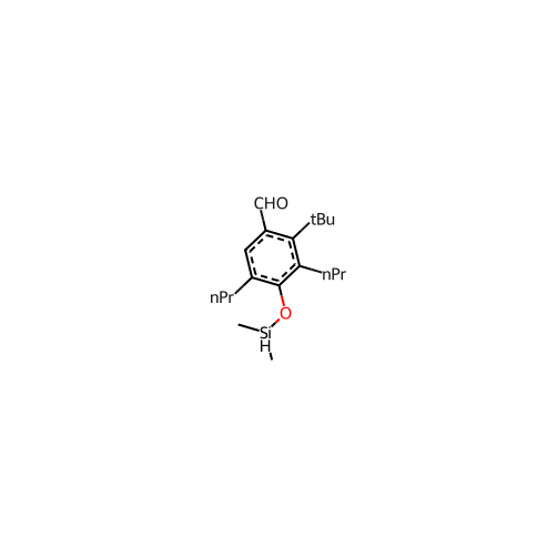 CCCc1cc(C=O)c(C(C)(C)C)c(CCC)c1O[SiH](C)C